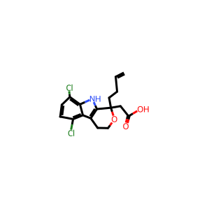 C=CCCC1(CC(=O)O)OCCc2c1[nH]c1c(Cl)ccc(Cl)c21